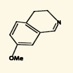 COc1ccc2c(c1)C=NCC2